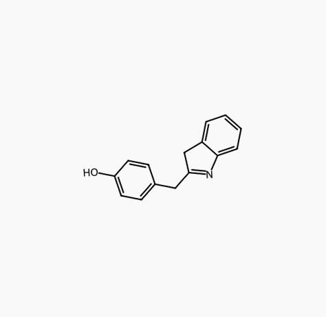 Oc1ccc(CC2=Nc3ccccc3C2)cc1